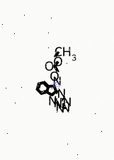 CCOC(=O)CO/N=C1\c2ccccc2-c2nn3nnnc3nc21